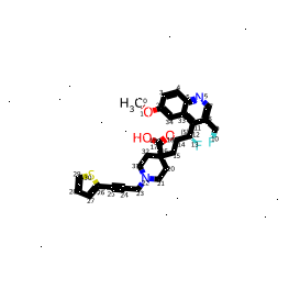 COc1ccc2ncc(CF)c([C@@H](F)CCC3(C(=O)O)CCN(CC#Cc4cccs4)CC3)c2c1